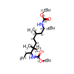 CC(C)CC(NC(=O)OC(C)(C)C)C(C)(C)CCC(C)C[C@H](NC(=O)OC(C)(C)C)C(C)(C)C